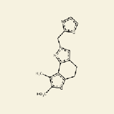 Cc1c(C(=O)O)oc2c1-c1nn(Cc3ncco3)cc1CC2